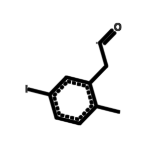 Cc1ccc(I)cc1C[C]=O